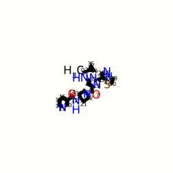 C[C@H](Nc1cc(C(=O)N2CCC(NC(=O)c3cccnc3)CC2)nc(-c2cnn3ccsc23)n1)C1CC1